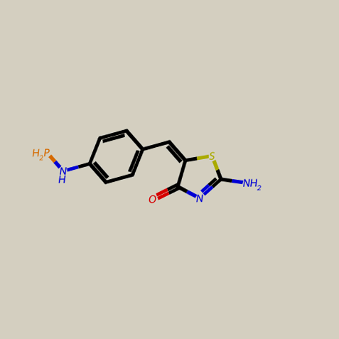 NC1=NC(=O)/C(=C\c2ccc(NP)cc2)S1